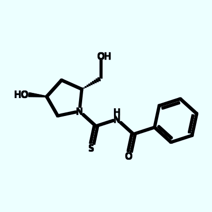 O=C(NC(=S)N1C[C@@H](O)C[C@@H]1CO)c1ccccc1